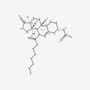 CCCCCCCC(=O)C1C=C2C[C@@H](OC(C)=O)CC[C@]2(C)[C@H]2CC[C@]3(C)C(=O)CC[C@H]3[C@H]12